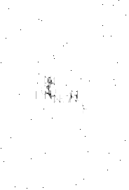 Cc1cc2c(cnn2-c2ccc(F)cc2)cc1N1CC[C@@H](NS(=O)(=O)c2cnn(C)c2)C1